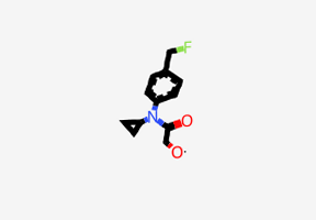 [O]CC(=O)N(c1ccc(CF)cc1)C1CC1